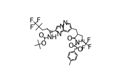 Cc1ccc(S(=O)(=O)N2C(=O)C(Cc3cnn4cc([C@H](CCC(C)(C)C(F)(F)F)NC(=O)OC(C)(C)C)nc4c3)C[C@H]2C(F)(F)F)cc1